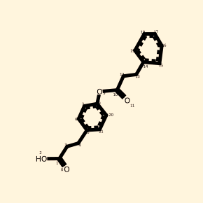 O=C(O)CCc1ccc(OC(=O)CCc2ccccc2)cc1